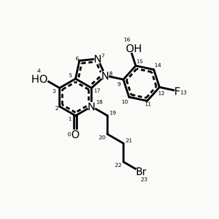 O=c1cc(O)c2cnn(-c3ccc(F)cc3O)c2n1CCCCBr